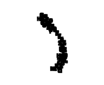 CC1(C)C(NC(=O)c2ccc(N3CCN(CCCCCCOc4cc5c(cc4F)C(=O)N(C4CCC(=O)NC4=O)C5=O)CC3)nc2)C(C)(C)C1Oc1ccc(C#N)c(Cl)c1